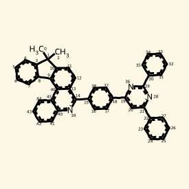 CC1(C)c2ccccc2-c2c1ccc1c(-c3ccc(-c4cc(-c5ccccc5)nc(-c5ccccc5)n4)cc3)nc3ccccc3c21